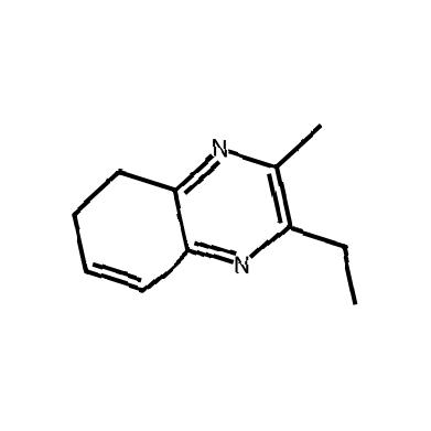 CCc1nc2c(nc1C)CCC=C2